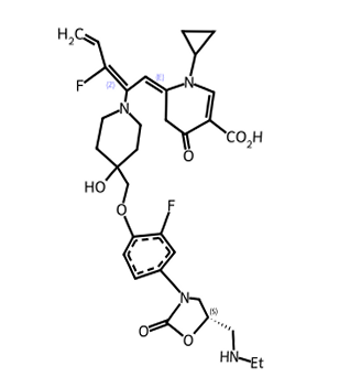 C=C/C(F)=C(\C=C1/CC(=O)C(C(=O)O)=CN1C1CC1)N1CCC(O)(COc2ccc(N3C[C@H](CNCC)OC3=O)cc2F)CC1